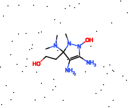 CN(C)C1(CCO)C(N)=C(N)N(O)N1C